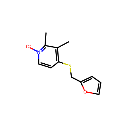 Cc1c(SCc2ccco2)cc[n+]([O-])c1C